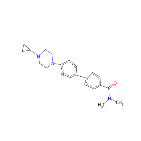 CN(C)C(=O)c1ccc(-c2ccc(N3CCN(C4CC4)CC3)nc2)cc1